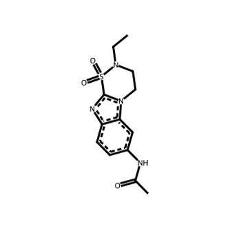 CCN1CCn2c(nc3ccc(NC(C)=O)cc32)S1(=O)=O